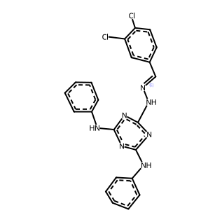 Clc1ccc(/C=N/Nc2nc(Nc3ccccc3)nc(Nc3ccccc3)n2)cc1Cl